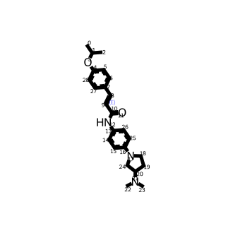 CC(C)Oc1ccc(/C=C/C(=O)Nc2ccc(N3CCC(N(C)C)C3)cc2)cc1